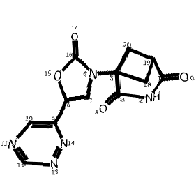 O=C1NC(=O)C2(N3CC(c4cncnn4)OC3=O)CC1C2